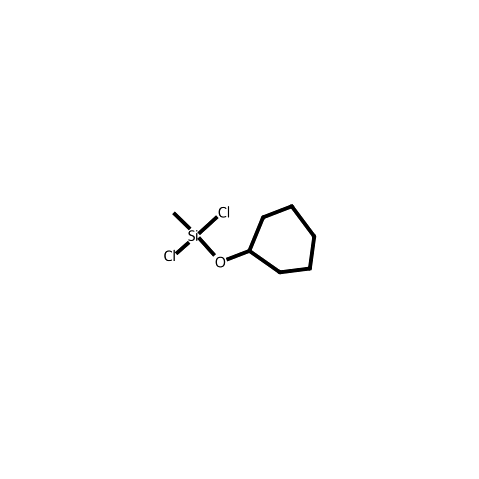 C[Si](Cl)(Cl)OC1CCCCC1